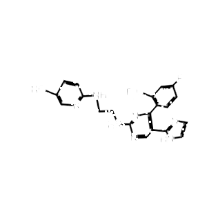 N#Cc1ccc(NCCNc2ncc(-c3ncc[nH]3)c(-c3ccc(F)cc3C(F)(F)F)n2)nc1